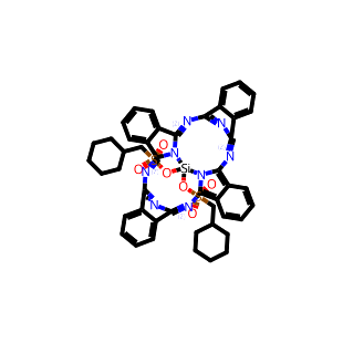 O=S(=O)(CC1CCCCC1)O[Si]1(OS(=O)(=O)CC2CCCCC2)n2c3c4ccccc4c2/N=C2N=C(/N=c4/c5ccccc5/c(n41)=N/C1=NC(=N\3)/c3ccccc31)c1ccccc1\2